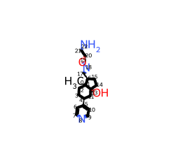 C[C@]12CC[C@H](c3ccncc3)C[C@@]1(O)CC[C@@H]2C=NOCCN